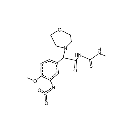 CNC(=S)NC(=O)C(c1ccc(OC)c(N=S(=O)=O)c1)N1CCOCC1